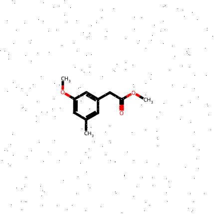 COC(=O)Cc1cc(C)cc(OC)c1